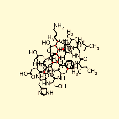 CC[C@H](C)[C@H](N)C(=O)N[C@@H](CC(C)C)C(=O)N[C@H](C(=O)N[C@@H](CC(C)C)C(=O)N[C@@H](Cc1ccccc1)C(=O)N[C@@H](CC(=O)O)C(=O)N[C@@H](CC(=O)O)C(=O)N[C@@H](Cc1c[nH]cn1)C(=O)N[C@@H](CO)C(=O)N[C@@H](CC(=O)O)C(=O)N[C@H](C(=O)N[C@@H](Cc1c[nH]cn1)C(=O)N[C@@H](CCCCN)C(=O)O)C(C)C)C(C)C